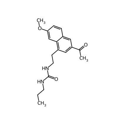 CCCNC(=O)NCCc1cc(C(C)=O)cc2ccc(OC)cc12